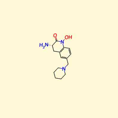 N[C@H]1Cc2cc(CN3CCCCC3)ccc2N(O)C1=O